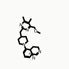 COCc1nc(CC2CCN(C3=CC=C[C@H]4C=NCCC34)CC2)nc(C)c1C